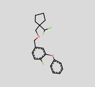 Fc1ccc(COCC2(C(F)F)CCCC2)cc1Oc1ccccc1